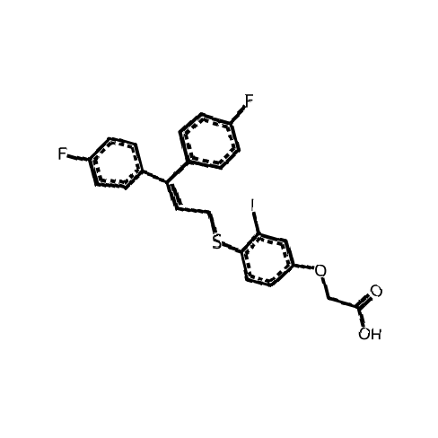 O=C(O)COc1ccc(SCC=C(c2ccc(F)cc2)c2ccc(F)cc2)c(I)c1